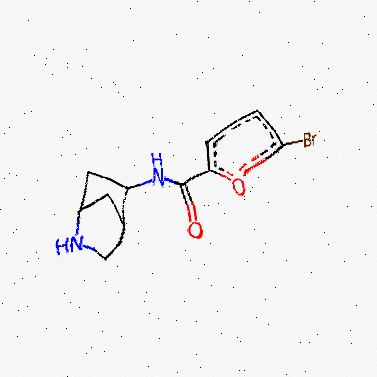 O=C(NC1CC2CC1CN2)c1ccc(Br)o1